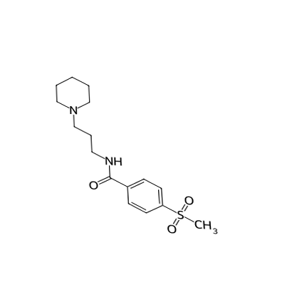 CS(=O)(=O)c1ccc(C(=O)NCCCN2CCCCC2)cc1